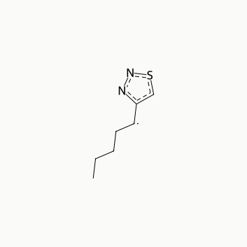 CCCC[CH]c1csnn1